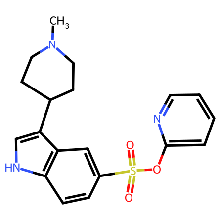 CN1CCC(c2c[nH]c3ccc(S(=O)(=O)Oc4ccccn4)cc23)CC1